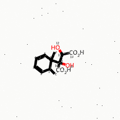 CC1C=CC=CC1(C)C(O)(C(=O)O)C(O)C(=O)O